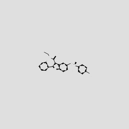 CCOC(=O)c1c(-c2ccccc2)oc2ccc(NS(=O)(=O)c3ccc(Cl)cc3)cc12